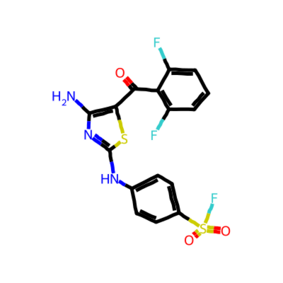 Nc1nc(Nc2ccc(S(=O)(=O)F)cc2)sc1C(=O)c1c(F)cccc1F